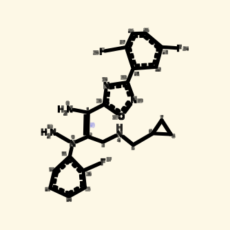 N/C(=C(/CNCC1CC1)N(N)c1ccccc1F)c1nc(-c2cc(F)ccc2F)no1